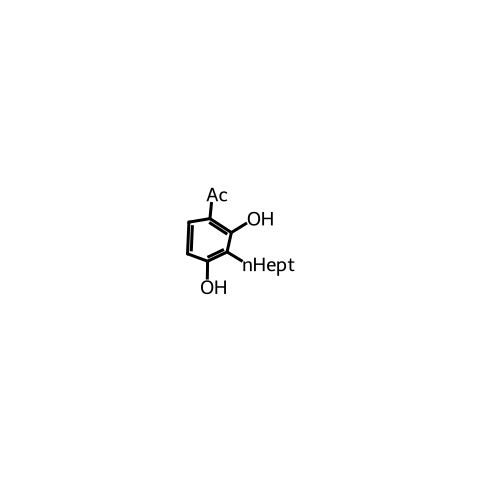 CCCCCCCc1c(O)ccc(C(C)=O)c1O